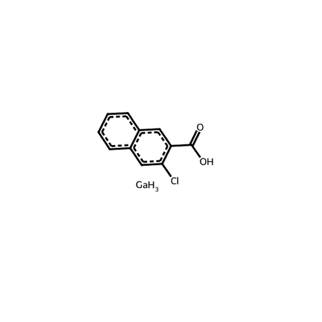 O=C(O)c1cc2ccccc2cc1Cl.[GaH3]